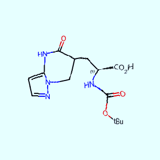 CC(C)(C)OC(=O)N[C@@H](CC1Cn2nccc2NC1=O)C(=O)O